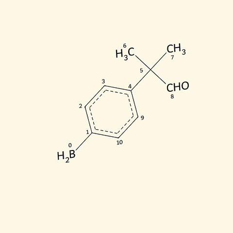 Bc1ccc(C(C)(C)C=O)cc1